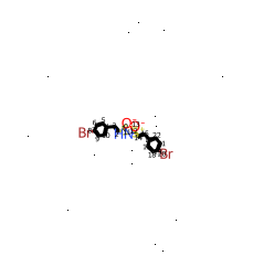 [O-][S+](C=Cc1ccc(Br)cc1)N[S+]([O-])C=Cc1ccc(Br)cc1